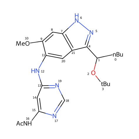 CCCCC(OC(C)(C)C)c1n[nH]c2cc(OC)c(Nc3cc(NC(C)=O)ncn3)cc12